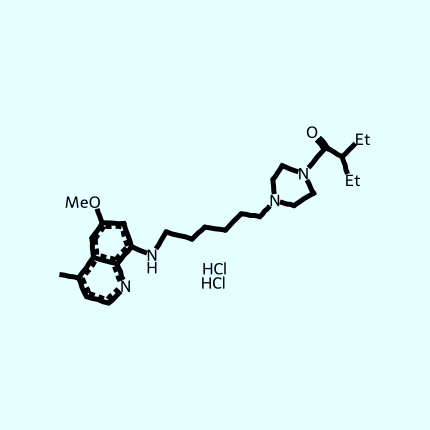 CCC(CC)C(=O)N1CCN(CCCCCCNc2cc(OC)cc3c(C)ccnc23)CC1.Cl.Cl